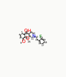 COc1cccc([C@H](O)C2CCN(CCc3ccccc3F)CC2)c1OC